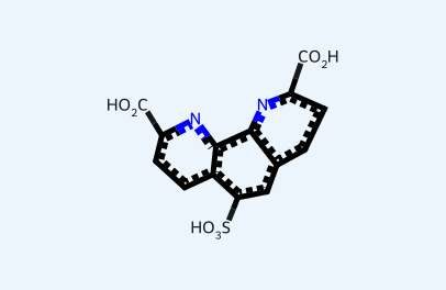 O=C(O)c1ccc2cc(S(=O)(=O)O)c3ccc(C(=O)O)nc3c2n1